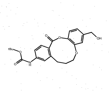 CC(C)(C)OC(=O)Nc1ccc2c(c1)CCCOc1cc(CO)ccc1OC2=O